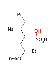 CCCCCC(CC)CC[CH]([Na])CC(C)C.O=S(=O)(O)O